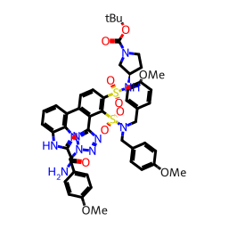 COc1ccc(CN(Cc2ccc(OC)cc2)S(=O)(=O)c2c(S(=O)(=O)N[C@@H]3CCN(C(=O)OC(C)(C)C)C3)ccc(-c3cccc4[nH]c(C(N)=O)nc34)c2-c2nnn(Cc3ccc(OC)cc3)n2)cc1